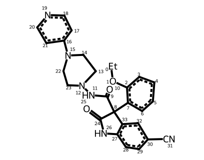 CCOc1ccccc1C1(C(=O)NN2CCN(c3ccncc3)CC2)C(=O)Nc2ccc(C#N)cc21